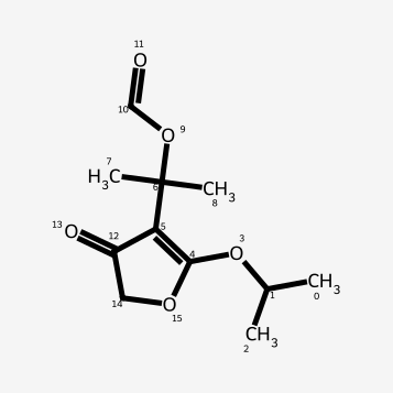 CC(C)OC1=C(C(C)(C)OC=O)C(=O)CO1